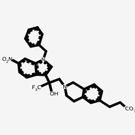 O=C(O)CCc1ccc2c(c1)CCN(CC(O)(c1cn(Cc3ccccc3)c3cc([N+](=O)[O-])ccc13)C(F)(F)F)C2